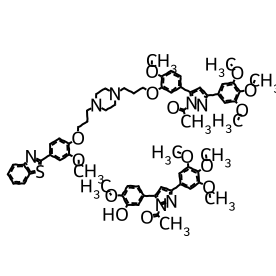 COc1cc(-c2nc3ccccc3s2)ccc1OCCCN1CCN(CCCOc2cc(-c3cc(-c4cc(OC)c(OC)c(OC)c4)nn3C(C)=O)ccc2OC)CC1.COc1ccc(-c2cc(-c3cc(OC)c(OC)c(OC)c3)nn2C(C)=O)cc1O